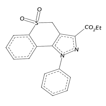 CCOC(=O)c1nn(-c2ccccc2)c2c1CS(=O)(=O)c1ccccc1-2